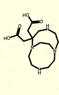 O=C(O)CC1(CC(=O)O)CNCCN2CCNCCN1CC2